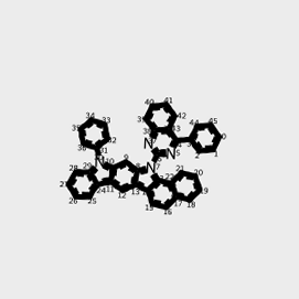 c1ccc(-c2nc(-n3c4cc5c(cc4c4ccc6ccccc6c43)c3ccccc3n5-c3ccccc3)nc3ccccc23)cc1